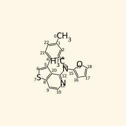 Cc1ccc(-c2csc3ccnc(N(C)c4ccco4)c23)cc1